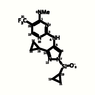 CNc1nc(Nc2cn([S+]([O-])C3CC3)nc2C2CC2)ncc1C(F)(F)F